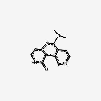 CN(C)c1nc2cc[nH]c(=O)c2c2cnccc12